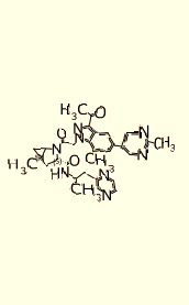 CC(=O)c1nn(CC(=O)N2C3C[C@]3(C)C[C@H]2C(=O)NC(C)Cc2cnccn2)c2c(C)cc(-c3cnc(C)nc3)cc12